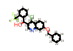 OC(c1ccccc1C(F)(F)F)c1cnc2cc(OCc3ccccc3)ccc2c1Cl